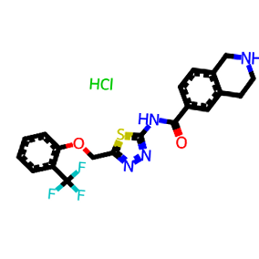 Cl.O=C(Nc1nnc(COc2ccccc2C(F)(F)F)s1)c1ccc2c(c1)CCNC2